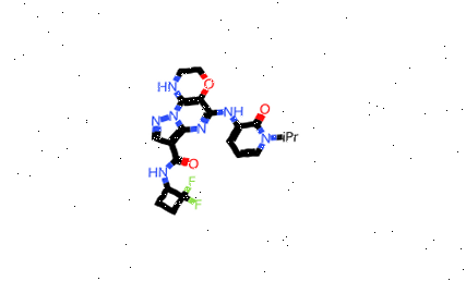 CC(C)n1cccc(Nc2nc3c(C(=O)NC4CCC4(F)F)cnn3c3c2OCCN3)c1=O